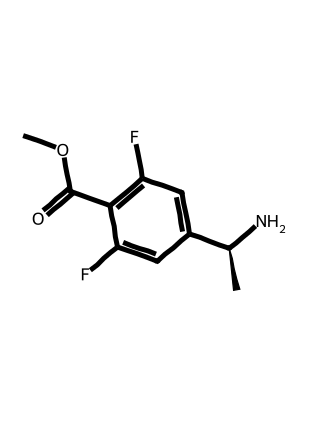 COC(=O)c1c(F)cc([C@H](C)N)cc1F